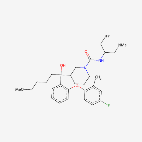 CNCC(CC(C)C)NC(=O)N1CCCC(C(O)(CCCCOC)c2ccccc2Oc2ccc(F)cc2C)C1